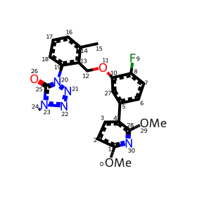 COc1ccc(-c2ccc(F)c(OCc3c(C)cccc3-n3nnn(C)c3=O)c2)c(OC)n1